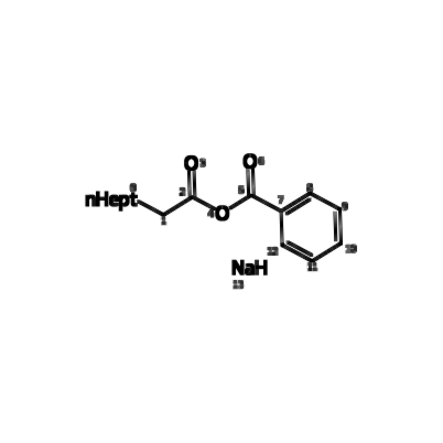 CCCCCCCCC(=O)OC(=O)c1ccccc1.[NaH]